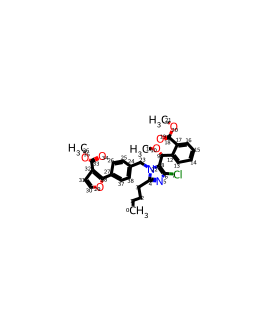 CCCCc1nc(Cl)c(C(OC)c2ccccc2C(=O)OC)n1Cc1ccc(-c2occc2C(=O)OC)cc1